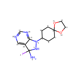 NC1(I)NN(C2CCC3(CC2)OCCO3)c2ncncc21